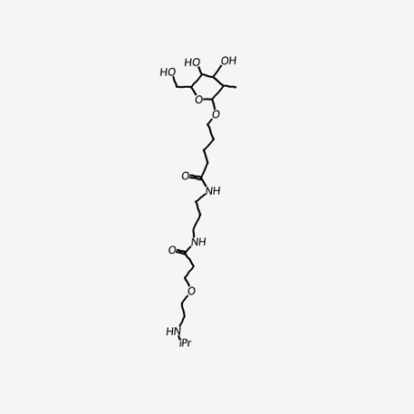 CC(C)NCCOCCC(=O)NCCCNC(=O)CCCCOC1OC(CO)C(O)C(O)C1C